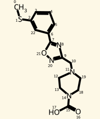 CSc1cccc(-c2nc(CN3CCN(C(=O)O)CC3)no2)c1